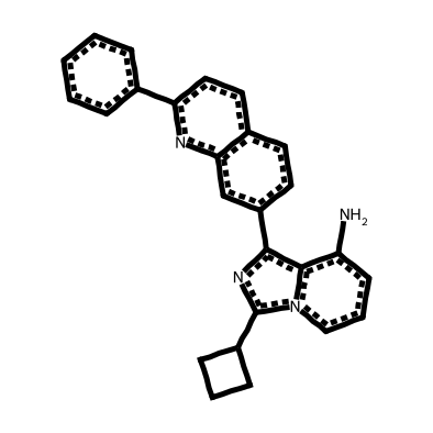 Nc1cccn2c(C3CCC3)nc(-c3ccc4ccc(-c5ccccc5)nc4c3)c12